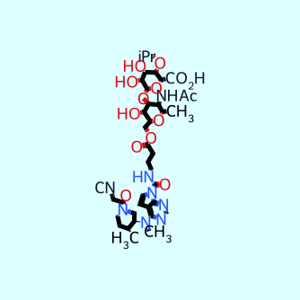 CC(=O)NC1C(C)OC(COC(=O)CCCNC(=O)n2ccc3c(N(C)[C@H]4CN(C(=O)CC#N)CC[C@H]4C)ncnc32)C(O)C1OC1OC(C(=O)O)C(OC(C)C)C(O)C1O